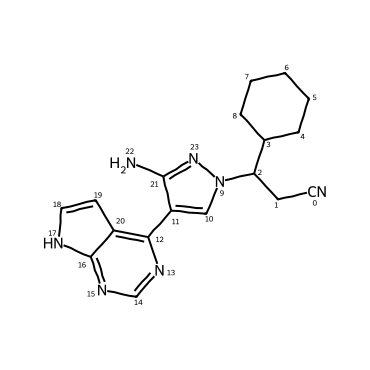 N#CCC(C1CCCCC1)n1cc(-c2ncnc3[nH]ccc23)c(N)n1